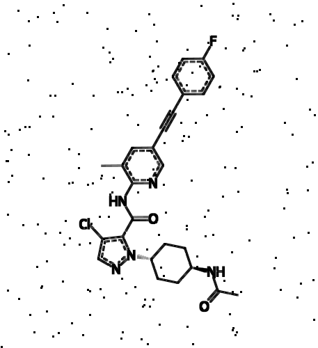 CC(=O)N[C@H]1CC[C@H](n2ncc(Cl)c2C(=O)Nc2ncc(C#Cc3ccc(F)cc3)cc2C)CC1